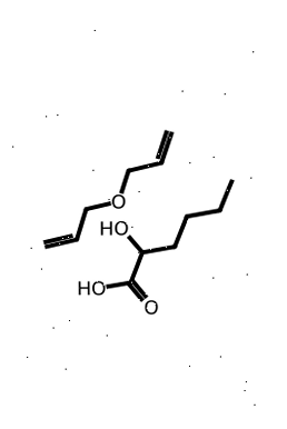 C=CCOCC=C.CCCCC(O)C(=O)O